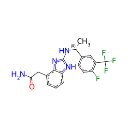 C[C@@H](Nc1nc2c(CC(N)=O)cccc2[nH]1)c1ccc(F)c(C(F)(F)F)c1